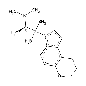 BC(B)([C@@H](C)N(C)C)n1ccc2c3c(ccc21)OCCC3